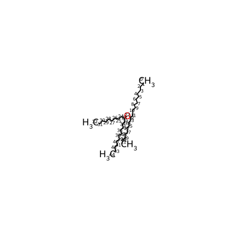 CCCCCCCCCCCCC(CCCCCCCCC)OC(CCCCCCCCC)CCCCCCCCCCCC